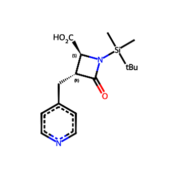 CC(C)(C)[Si](C)(C)N1C(=O)[C@H](Cc2ccncc2)[C@H]1C(=O)O